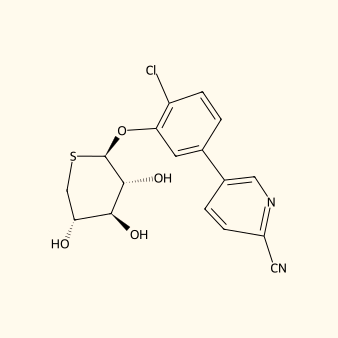 N#Cc1ccc(-c2ccc(Cl)c(O[C@@H]3SC[C@@H](O)[C@H](O)[C@H]3O)c2)cn1